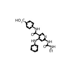 CCNC(=O)Nc1cc(Nc2ccccc2)c(C(=O)Nc2ccc(C(=O)O)cc2)cn1